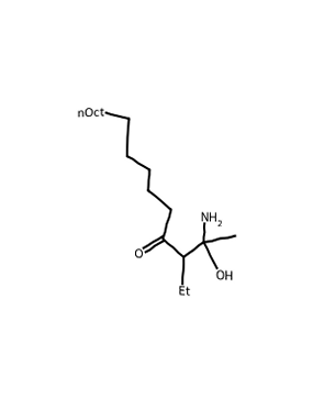 CCCCCCCCCCCCCC(=O)C(CC)C(C)(N)O